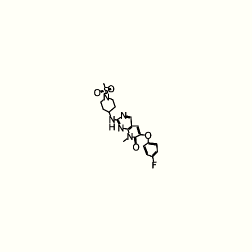 Cn1c(=O)c(Oc2ccc(F)cc2)cc2cnc(NC3CCN(S(C)(=O)=O)CC3)nc21